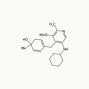 COc1c(C)ncc(NC2CCCCC2)c1CC1=CCC(O)(C(C)(C)C)C=C1